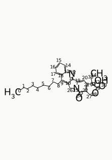 CCCCCCCCCc1c2c(nc3ccccc13)-c1cc3c(c(=O)n1C2)COC(=O)[C@]3(O)CC